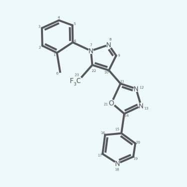 Cc1ccccc1-n1ncc(-c2nnc(-c3ccncc3)o2)c1C(F)(F)F